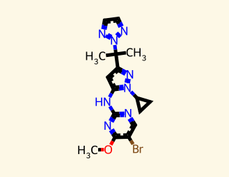 COc1nc(Nc2cc(C(C)(C)n3nccn3)nn2C2CC2)ncc1Br